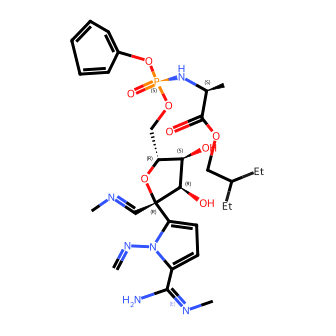 C=Nn1c(/C(N)=N\C)ccc1[C@]1(C=NC)O[C@H](CO[P@@](=O)(N[C@@H](C)C(=O)OCC(CC)CC)Oc2ccccc2)[C@@H](O)[C@H]1O